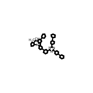 CC1(C)c2ccccc2-n2c3ccc(-c4cccc(-c5nc(-c6ccc(-c7ccccc7)cc6)nc(-c6ccc(-c7ccccc7)cc6)n5)c4)cc3c3cc(-c4ccccc4)cc1c32